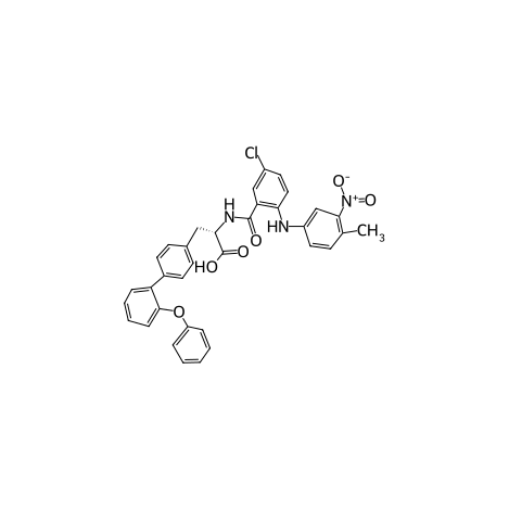 Cc1ccc(Nc2ccc(Cl)cc2C(=O)N[C@@H](Cc2ccc(-c3ccccc3Oc3ccccc3)cc2)C(=O)O)cc1[N+](=O)[O-]